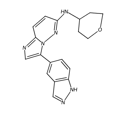 c1cc2[nH]ncc2cc1-c1cnc2ccc(NC3CCOCC3)nn12